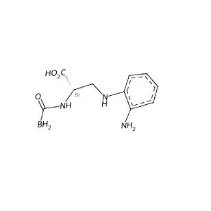 BC(=O)N[C@@H](CNc1ccccc1N)C(=O)O